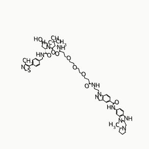 Cc1ncsc1-c1ccc(CNC(=O)[C@@H]2C[C@@H](O)CN2C(=O)[C@@H](NC(=O)CCOCCOCCOCCC(=O)NCCn2ncc3cc(C(=O)Nc4ccc5[nH]c(CN6CCC[C@@H]6C)nc5c4)ccc32)C(C)(C)C)cc1